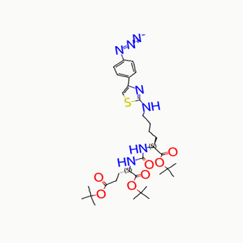 CC(C)(C)OC(=O)CC[C@H](NC(=O)N[C@@H](CCCCNc1nc(-c2ccc(N=[N+]=[N-])cc2)cs1)C(=O)OC(C)(C)C)C(=O)OC(C)(C)C